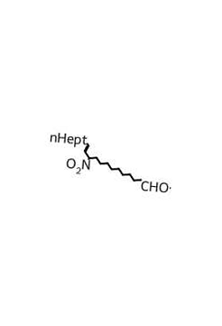 CCCCCCC/C=C/C(CCCCCCCCC[C]=O)[N+](=O)[O-]